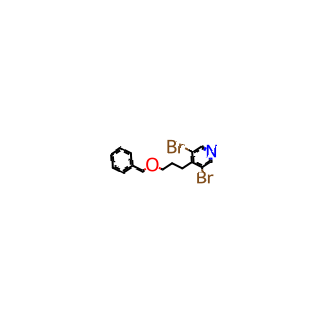 Brc1cncc(Br)c1CCCOCc1ccccc1